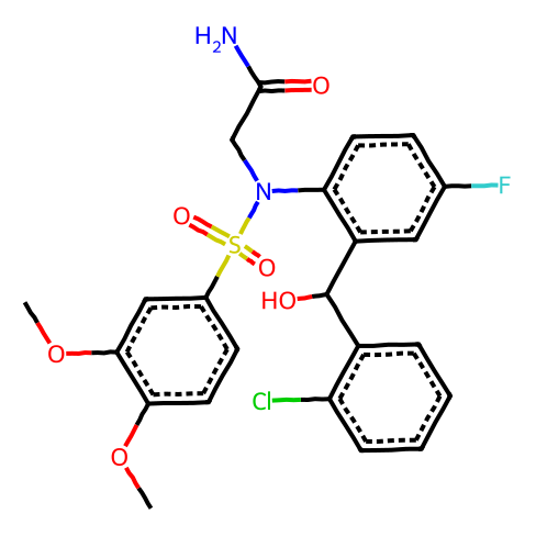 COc1ccc(S(=O)(=O)N(CC(N)=O)c2ccc(F)cc2C(O)c2ccccc2Cl)cc1OC